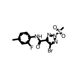 Cc1ccc(NC(=O)c2nn(S(C)(=O)=O)nc2Br)c(F)c1